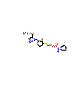 COC(=O)c1cncn1Cc1cccc(SCCOC(=O)Nc2ccccc2)c1C